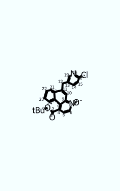 CC(C)(C)OC(=O)c1cc[n+]([O-])c2cc(Cc3ccc(Cl)nc3)c3ccccc3c12